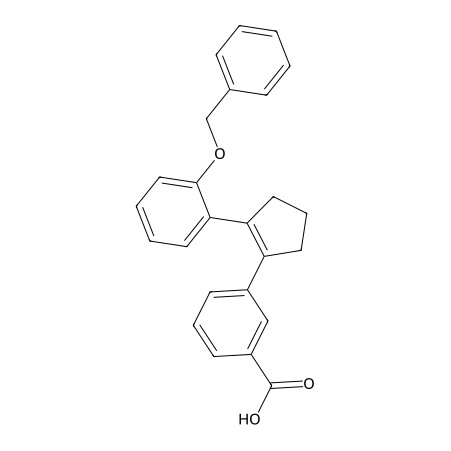 O=C(O)c1cccc(C2=C(c3ccccc3OCc3ccccc3)CCC2)c1